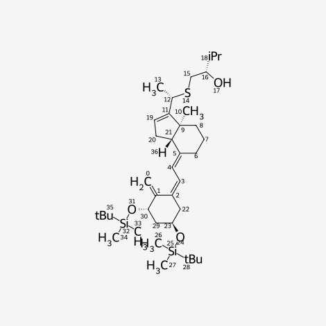 C=C1C(=CC=C2CCC[C@]3(C)C([C@H](C)SC[C@@H](O)C(C)C)=CC[C@@H]23)C[C@@H](O[Si](C)(C)C(C)(C)C)C[C@@H]1O[Si](C)(C)C(C)(C)C